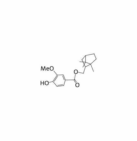 COc1cc(C(=O)OCC2CC3CCC2(C)C3(C)C)ccc1O